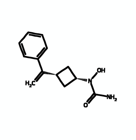 C=C(c1ccccc1)[C@H]1C[C@@H](N(O)C(N)=O)C1